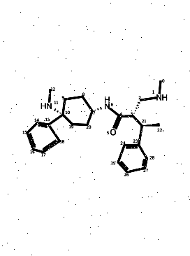 CNC[C@@H](C(=O)N[C@H]1CC[C@](NC)(c2ccccc2)CC1)[C@@H](C)c1ccccc1